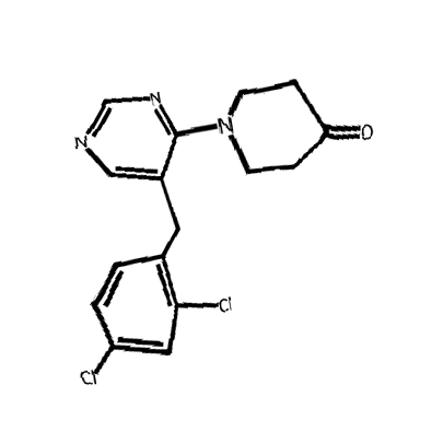 O=C1CCN(c2ncncc2Cc2ccc(Cl)cc2Cl)CC1